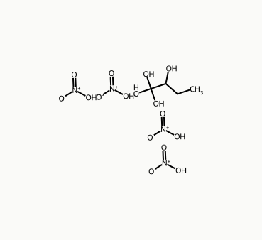 CCC(O)C(O)(O)O.O=[N+]([O-])O.O=[N+]([O-])O.O=[N+]([O-])O.O=[N+]([O-])O